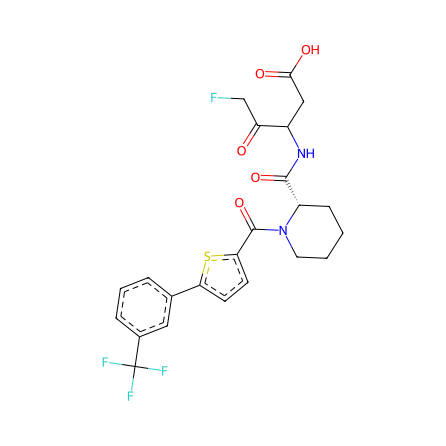 O=C(O)CC(NC(=O)[C@@H]1CCCCN1C(=O)c1ccc(-c2cccc(C(F)(F)F)c2)s1)C(=O)CF